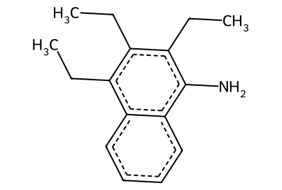 CCc1c(CC)c(CC)c2ccccc2c1N